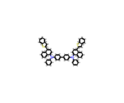 c1ccc(N(c2ccc(-c3ccc(N(c4ccccc4)c4ccc(-c5cc6ccccc6s5)c5ccccc45)cc3)cc2)c2ccc(-c3cc4ccccc4s3)c3ccccc23)cc1